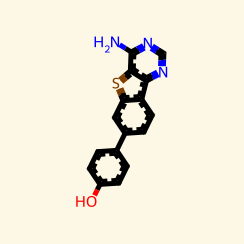 Nc1ncnc2c1sc1cc(-c3ccc(O)cc3)ccc12